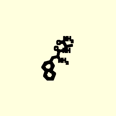 CC(NC(=O)C(N)Cc1ccc2ccccc2c1)C(N)=O